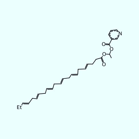 CCC=CCC=CCC=CCC=CCC=CCC=CCCC(=O)OC(C)OC(=O)c1cccnc1